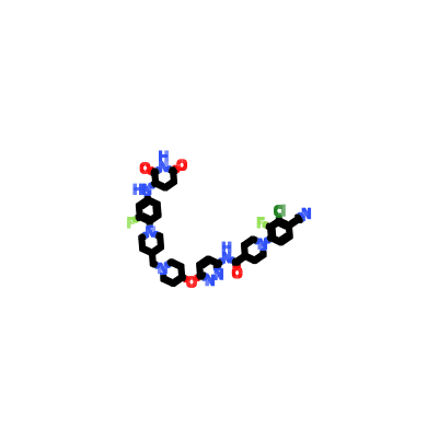 N#Cc1ccc(N2CCC(C(=O)Nc3ccc(OC4CCN(CC5CCN(c6ccc(NC7CCC(=O)NC7=O)cc6F)CC5)CC4)nn3)CC2)c(F)c1Cl